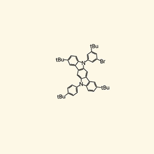 CC(C)(C)c1ccc(-n2c3ccc(C(C)(C)C)cc3c3cc4c(cc32)c2cc(C(C)(C)C)ccc2n4-c2cc(Br)cc(C(C)(C)C)c2)cc1